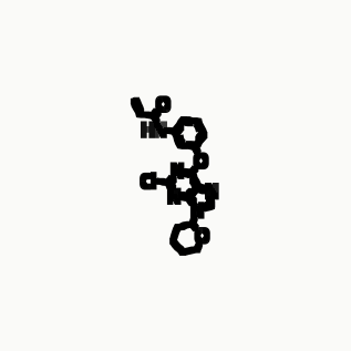 C=CC(=O)Nc1cccc(Oc2nc(Cl)nc3c2ncn3C2CCCCO2)c1